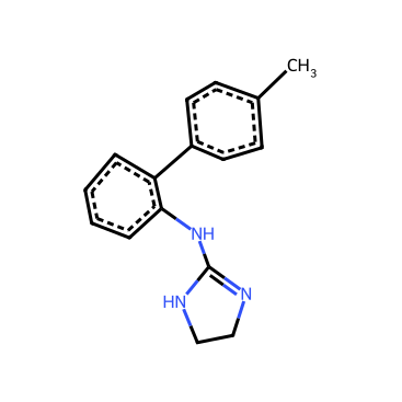 Cc1ccc(-c2ccccc2NC2=NCCN2)cc1